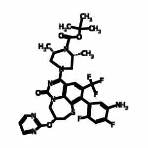 C[C@@H]1CN(c2nc(=O)n3c4c(c(-c5cc(N)c(F)cc5F)c(C(F)(F)F)cc24)SC[C@@H](Oc2ncccn2)C3)C[C@H](C)N1C(=O)OC(C)(C)C